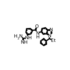 CCC(c1ccccc1)n1cnc2ccc(NC(=O)c3cccc(NC(=N)N)c3)cc21